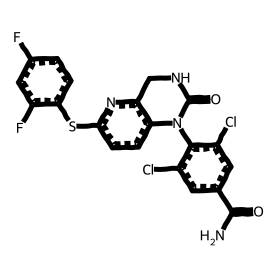 NC(=O)c1cc(Cl)c(N2C(=O)NCc3nc(Sc4ccc(F)cc4F)ccc32)c(Cl)c1